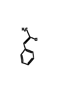 CC(Cl)=Cc1ccccc1